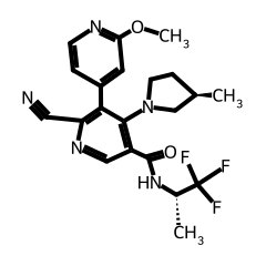 COc1cc(-c2c(C#N)ncc(C(=O)N[C@@H](C)C(F)(F)F)c2N2CC[C@@H](C)C2)ccn1